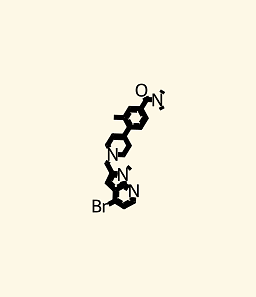 Cc1cc(C(=O)N(C)C)ccc1C1=CCN(Cc2cc3c(Br)ccnc3n2C)CC1